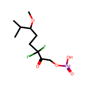 COC(CCC(F)(F)C(=O)CO[PH](=O)O)C(C)C